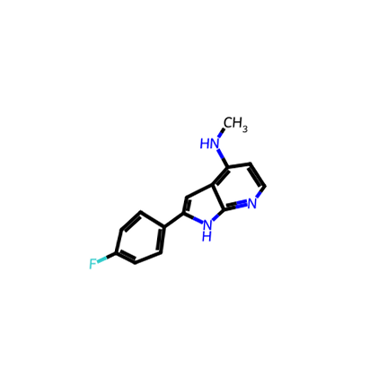 CNc1ccnc2[nH]c(-c3ccc(F)cc3)cc12